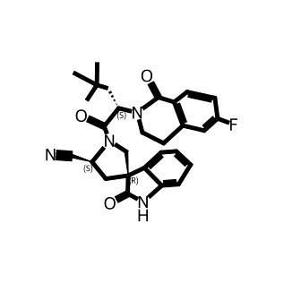 CC(C)(C)C[C@@H](C(=O)N1C[C@]2(C[C@H]1C#N)C(=O)Nc1ccccc12)N1CCc2cc(F)ccc2C1=O